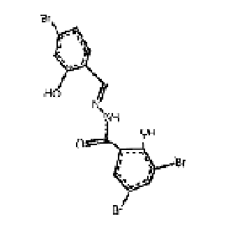 O=C(NN=Cc1ccc(Br)cc1O)c1cc(Br)cc(Br)c1O